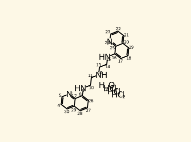 Cl.Cl.Cl.O.c1cnc2c(NCCNCCNc3cccc4cccnc34)cccc2c1